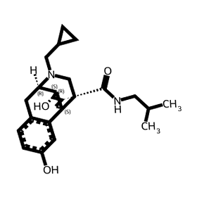 CC(C)CNC(=O)[C@@H]1C[C@]23CCN(CC4CC4)[C@H](Cc4ccc(O)cc42)[C@]3(O)C1